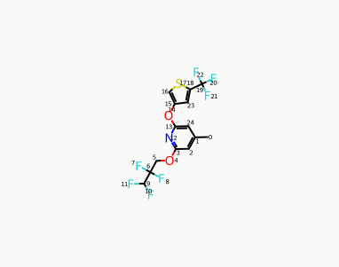 Cc1cc(OCC(F)(F)C(F)F)nc(Oc2csc(C(F)(F)F)c2)c1